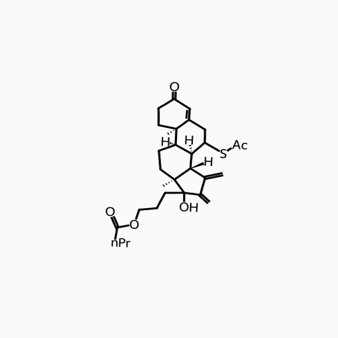 C=C1C(=C)C(O)(CCCOC(=O)CCC)[C@@]2(C)CC[C@@H]3[C@@H](C(SC(C)=O)CC4=CC(=O)CC[C@@]43C)[C@H]12